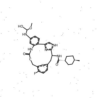 COC(O)Nc1ccc2c(c1)NC(=O)CCc1nc(ccc1F)CC(NC(=O)[C@H]1CC[C@H](C)CC1)c1nc-2c[nH]1